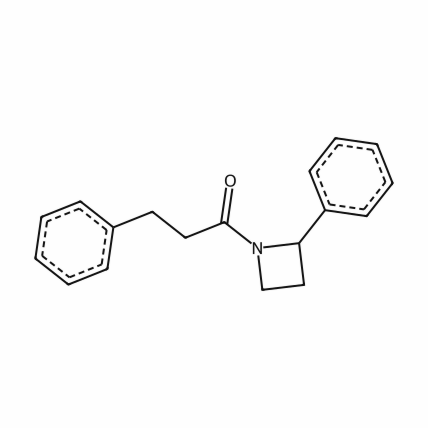 O=C(CCc1ccccc1)N1CCC1c1ccccc1